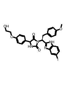 COc1ccc(C[C@@H](c2nc3cc(I)ccc3[nH]2)N2C(=O)NC(c3ccc(OCCO)cc3)C2=O)cc1